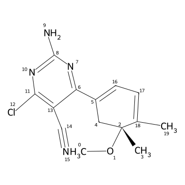 CO[C@]1(C)CC(c2nc(N)nc(Cl)c2C#N)=CC=C1C